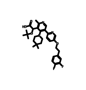 Cc1ncc(-c2ccc(OCCc3ccc(F)c(F)c3)cn2)c(N2CCC(C)(C)CC2)c1C(OC(C)(C)C)C(=O)O